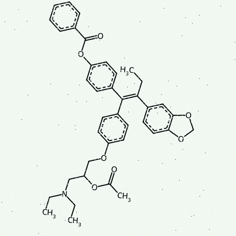 CC/C(=C(/c1ccc(OCC(CN(CC)CC)OC(C)=O)cc1)c1ccc(OC(=O)c2ccccc2)cc1)c1ccc2c(c1)OCO2